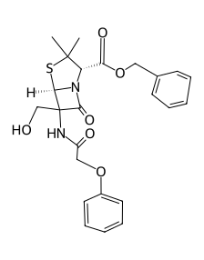 CC1(C)S[C@H]2N(C(=O)C2(CO)NC(=O)COc2ccccc2)[C@H]1C(=O)OCc1ccccc1